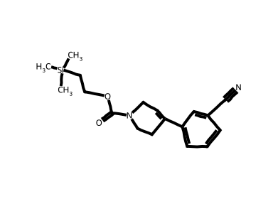 C[Si](C)(C)CCOC(=O)N1CC=C(c2cccc(C#N)c2)CC1